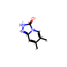 Cc1cc2n[nH]c(=O)n2cc1C